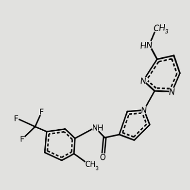 CNc1ccnc(-n2ccc(C(=O)Nc3cc(C(F)(F)F)ccc3C)c2)n1